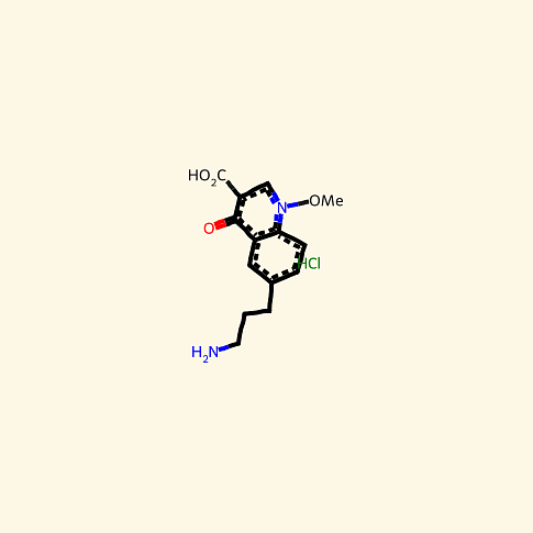 COn1cc(C(=O)O)c(=O)c2cc(CCCN)ccc21.Cl